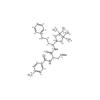 COCC(NC(=O)c1ccc(C)nc1)C(=O)NC(CCOc1ccccc1)B1OC(C)(C)C(C)(C)O1